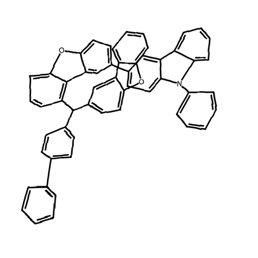 c1ccc(-c2ccc(C(c3ccc4oc5ccccc5c4c3)c3cccc4oc5ccc(-c6ccc7c(c6)c6ccccc6n7-c6ccccc6)cc5c34)cc2)cc1